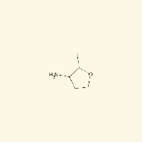 NC1CCOC1I